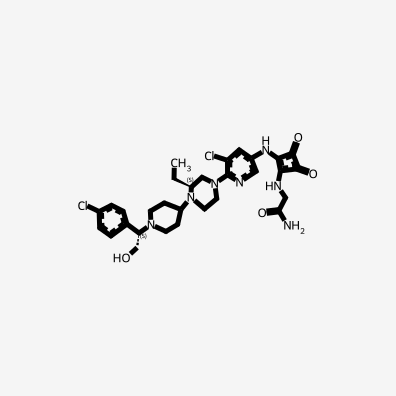 CC[C@H]1CN(c2ncc(Nc3c(NCC(N)=O)c(=O)c3=O)cc2Cl)CCN1C1CCN([C@H](CO)c2ccc(Cl)cc2)CC1